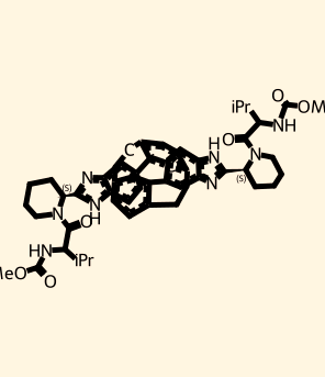 COC(=O)NC(C(=O)N1CCCC[C@H]1c1nc2cc(-c3cc4ccc3CCc3ccc(c(-c5ccc6[nH]c([C@@H]7CCCCN7C(=O)C(NC(=O)OC)C(C)C)nc6c5)c3)CC4)ccc2[nH]1)C(C)C